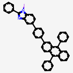 In1c(-c2ccccc2)nc2cc(-c3ccc(-c4ccc5c(-c6ccccc6)c6ccccc6c(-c6ccccc6)c5c4)cc3)ccc21